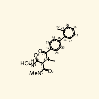 CNC(=O)C(C(=O)NO)N(C)C(=O)c1ccc(-c2ccccc2C)cc1